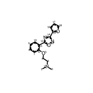 CN(C)CCOc1ccccc1-c1nc(-c2ccco2)no1